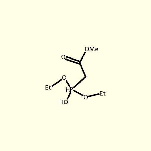 CCO[PH](O)(CC(=O)OC)OCC